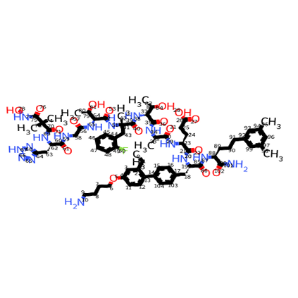 CCc1cc(OCCCCN)ccc1-c1ccc(C[C@H](NC(=O)[C@H](CCC(=O)O)NC(=O)[C@H](C)NC(=O)[C@@H](NC(=O)[C@](C)(Cc2ccccc2F)NC(=O)[C@@H](NC(=O)CNC(=O)[C@H](Cc2nn[nH]n2)NC(=O)C(C)(C)C(=O)NO)[C@@H](C)O)[C@@H](C)O)C(=O)N[C@@H](CCCc2cc(C)cc(C)c2)C(N)=O)cc1